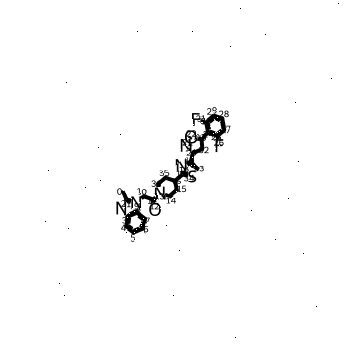 Cc1nc2ccccc2n1CC(=O)N1CCC(c2nc(C3=NOC(c4c(F)cccc4F)C3)cs2)CC1